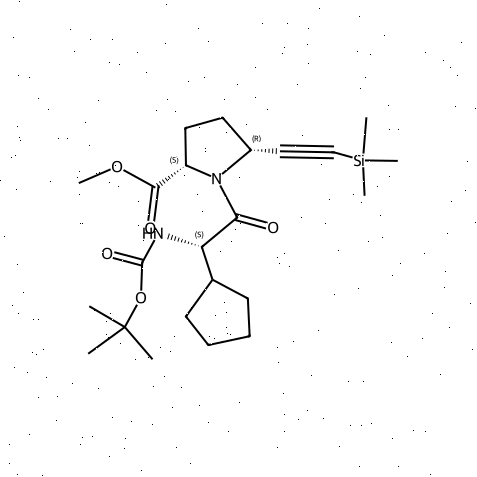 COC(=O)[C@@H]1CC[C@H](C#C[Si](C)(C)C)N1C(=O)[C@@H](NC(=O)OC(C)(C)C)C1CCCC1